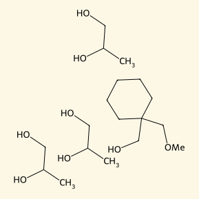 CC(O)CO.CC(O)CO.CC(O)CO.COCC1(CO)CCCCC1